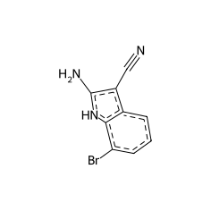 N#Cc1c(N)[nH]c2c(Br)cccc12